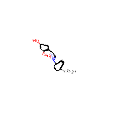 O=C(O)c1ccc(/N=C/c2ccc(O)cc2O)cc1